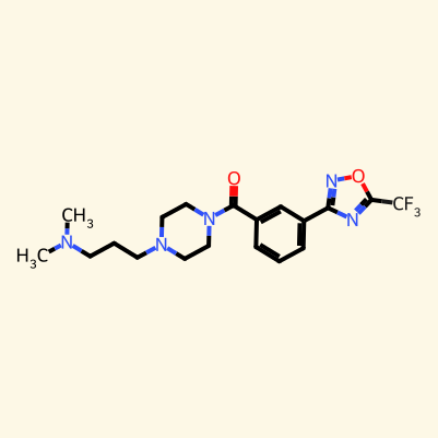 CN(C)CCCN1CCN(C(=O)c2cccc(-c3noc(C(F)(F)F)n3)c2)CC1